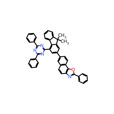 CC1(C)c2ccccc2-c2c(-c3nc(-c4ccccc4)nc(-c4ccccc4)n3)cc(-c3ccc4c(ccc5nc(-c6ccccc6)oc54)c3)cc21